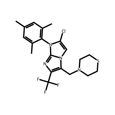 Cc1cc(C)c(-n2c(Cl)cn3c(CN4CCSCC4)c(C(F)(F)F)nc23)c(C)c1